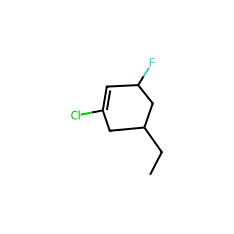 CCC1CC(Cl)=CC(F)C1